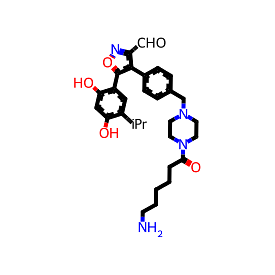 CC(C)c1cc(-c2onc(C=O)c2-c2ccc(CN3CCN(C(=O)CCCCCN)CC3)cc2)c(O)cc1O